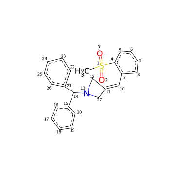 CS(=O)(=O)c1ccccc1C=C1CN(C(c2ccccc2)c2ccccc2)C1